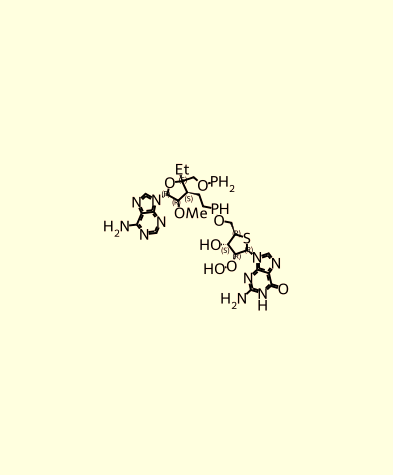 CC[C@]1(COP)O[C@@H](n2cnc3c(N)ncnc32)[C@H](OC)[C@@H]1CCPOC[C@H]1S[C@@H](n2cnc3c(=O)[nH]c(N)nc32)[C@H](OO)[C@@H]1O